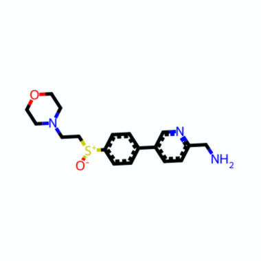 NCc1ccc(-c2ccc([S+]([O-])CCN3CCOCC3)cc2)cn1